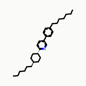 CCCCCCCc1ccc(-c2ccc([C@H]3CC[C@H](CCCCCC)CC3)nc2)cc1